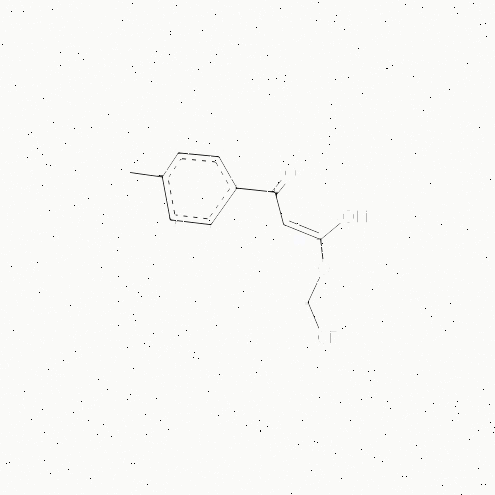 Cc1ccc(C(=O)/C=C(\O)OCC(F)(F)F)cc1